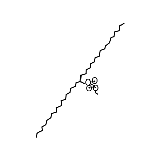 CCCCCCCCCCCCCCCCCCC(CCCCCCCCCCCCCCCCCC)COS(=O)(=O)OCC